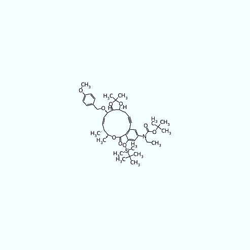 CCN(C(=O)OC(C)(C)C)c1cc2c(c(O[Si](C)(C)C(C)(C)C)c1)C(=O)O[C@@H](C)[C@H](C)/C=C\[C@@H](OCc1ccc(OC)cc1)[C@H]1OC(C)(C)O[C@H]1CC#C2